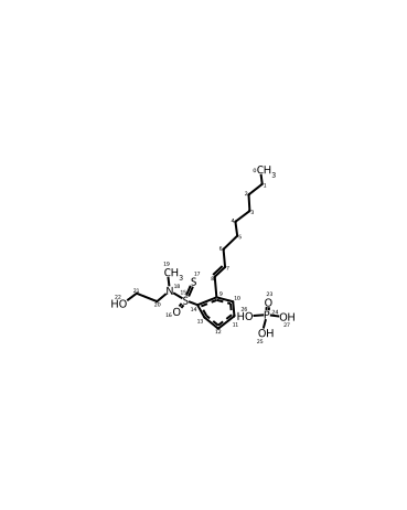 CCCCCCCC=Cc1ccccc1S(=O)(=S)N(C)CCO.O=P(O)(O)O